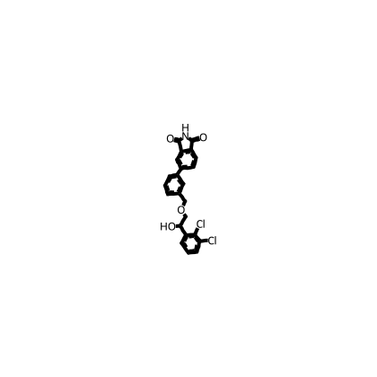 O=C1NC(=O)c2cc(-c3cccc(COCC(O)c4cccc(Cl)c4Cl)c3)ccc21